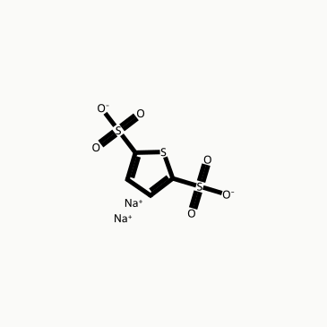 O=S(=O)([O-])c1ccc(S(=O)(=O)[O-])s1.[Na+].[Na+]